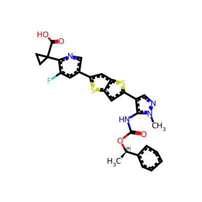 C[C@@H](OC(=O)Nc1c(-c2cc3sc(-c4cnc(C5(C(=O)O)CC5)c(F)c4)cc3s2)cnn1C)c1ccccc1